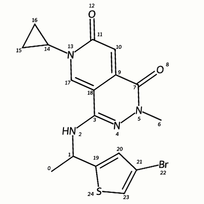 CC(Nc1nn(C)c(=O)c2cc(=O)n(C3CC3)cc12)c1cc(Br)cs1